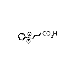 O=C(O)C=CC=CS(=O)(=O)c1ccccc1